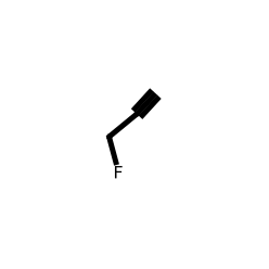 C#CCF